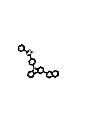 c1ccc(-c2noc(-c3ccc(-n4c5ccccc5c5cc(-c6ccc7ccccc7c6)ccc54)cc3)n2)cc1